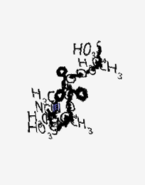 Cc1cc(N(CC(OCCOCCOCC[N+](C)(C)CCCS(=O)(=O)O)c2ccccc2)CC(OCCOCC[N+](C)(C)CCCS(=O)(=O)O)c2ccccc2)ccc1/N=N/c1sc(C#N)c(C)c1C#N